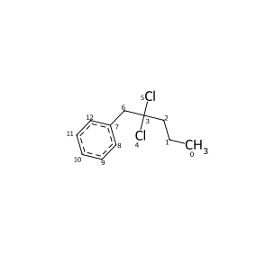 CCCC(Cl)(Cl)Cc1ccccc1